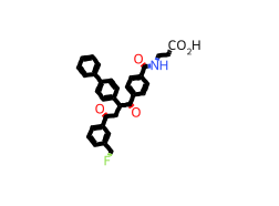 O=C(O)CCNC(=O)c1ccc(C(=O)C(CC(=O)c2cccc(CF)c2)c2ccc(-c3ccccc3)cc2)cc1